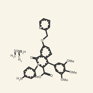 COC(=O)c1c(-c2cc(OC)c(OC)c(OC)c2)c2ccc(OCc3ccccn3)cc2c(=O)n1-c1ccc(N)cc1.CS(=O)(=O)O.CS(=O)(=O)O